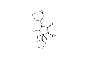 CC(C)N1C(=O)N(C2COCOC2)C(=O)C12CC1CCC(C2)N1